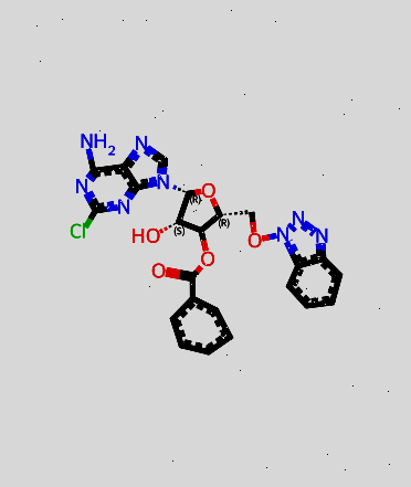 Nc1nc(Cl)nc2c1ncn2[C@@H]1O[C@H](COn2nnc3ccccc32)C(OC(=O)c2ccccc2)[C@@H]1O